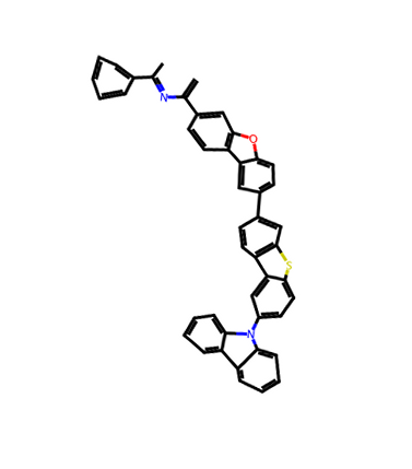 C=C(/N=C(\C)c1ccccc1)c1ccc2c(c1)oc1ccc(-c3ccc4c(c3)sc3ccc(-n5c6ccccc6c6ccccc65)cc34)cc12